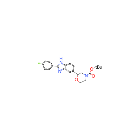 CC(C)(C)OC(=O)N1CCOC(c2ccc3[nH]c(-c4ccc(F)cc4)nc3c2)C1